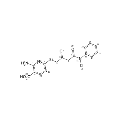 Nc1nc(SCC(=O)CC(=O)N(Cl)c2ccccc2)ncc1C(=O)O